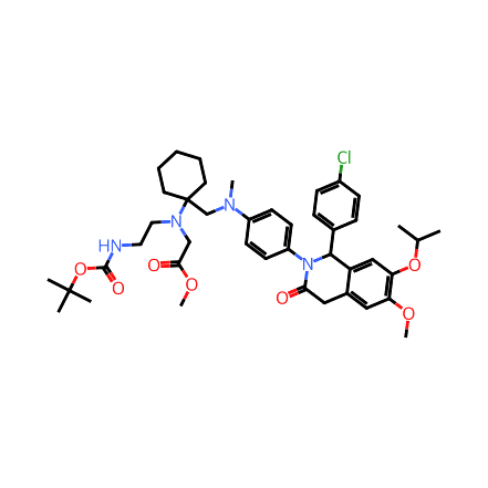 COC(=O)CN(CCNC(=O)OC(C)(C)C)C1(CN(C)c2ccc(N3C(=O)Cc4cc(OC)c(OC(C)C)cc4C3c3ccc(Cl)cc3)cc2)CCCCC1